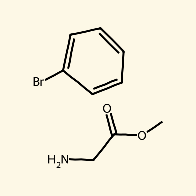 Brc1ccccc1.COC(=O)CN